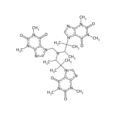 CC(N(Cn1cnc2c1c(=O)n(C)c(=O)n2C)C(C)C(C)(C)n1cnc2c1c(=O)n(C)c(=O)n2C)C(C)(C)n1cnc2c1c(=O)n(C)c(=O)n2C